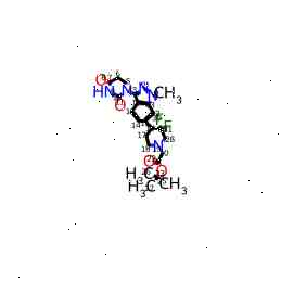 Cn1nc(N2CCC(=O)NC2=O)c2ccc(C3CCN(CC(=O)OC(C)(C)C)CC3(F)F)cc21